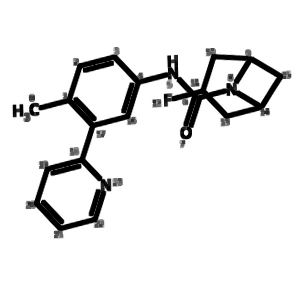 Cc1ccc(NC(=O)N2C3CC(F)CC2C3)cc1-c1ccccn1